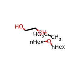 CC(=O)O.CCCCCCOCCCCCC.OCCO